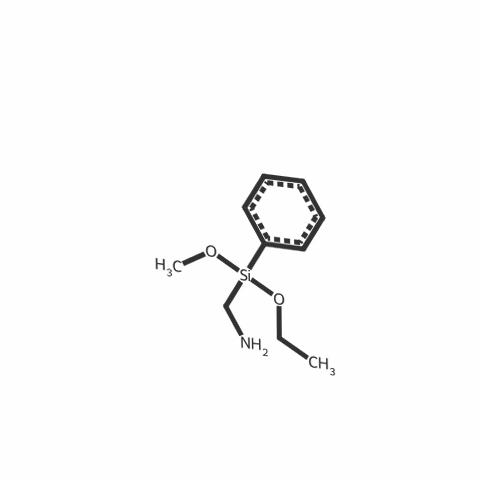 CCO[Si](CN)(OC)c1ccccc1